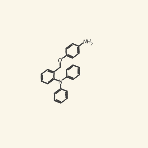 Nc1ccc(OCc2ccccc2N(c2ccccc2)c2ccccc2)cc1